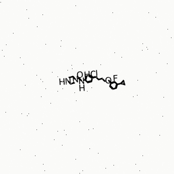 Cl.O=C(Nc1ccc(CCCCOc2cccc(C3CC3)c2F)cc1)N1CCNCC1